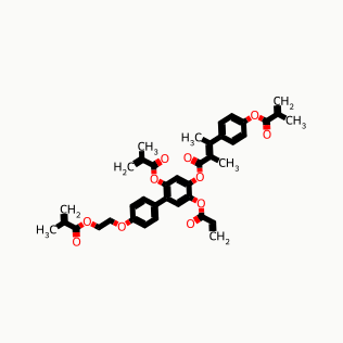 C=CC(=O)Oc1cc(-c2ccc(OCCOC(=O)C(=C)C)cc2)c(OC(=O)C(=C)C)cc1OC(=O)/C(C)=C(\C)c1ccc(OC(=O)C(=C)C)cc1